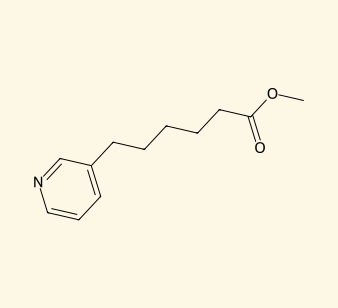 COC(=O)CCCCCc1cccnc1